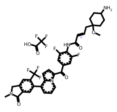 COC1(C/C=C/C(=O)Nc2c(F)cc(C(=O)c3ccc4c(-c5cc6c(cc5C(F)(F)F)CN(C)C6=O)cccn34)cc2F)CCC(N)CC1.O=C(O)C(F)(F)F